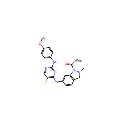 CNC(=O)N1c2cc(Nc3nc(Nc4ccc(OC(C)C)cc4)ncc3F)ccc2CN1C